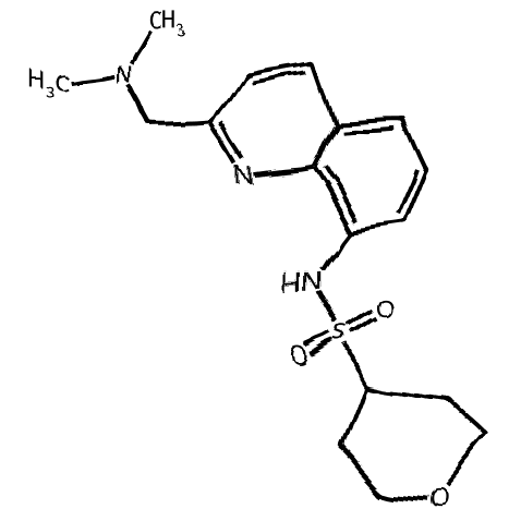 CN(C)Cc1ccc2cccc(NS(=O)(=O)C3CCOCC3)c2n1